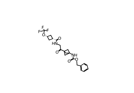 O=C(NC12CC(C(=O)CNC(=O)[C@H]3C[C@@H](OC(F)(F)F)C3)(C1)C2)OCc1ccccc1